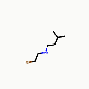 CC(C)CCNCCS